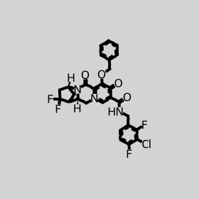 O=C(NCc1ccc(F)c(Cl)c1F)c1cn2c(c(OCc3ccccc3)c1=O)C(=O)N1[C@@H]3CC([C@@H]1C2)C(F)(F)C3